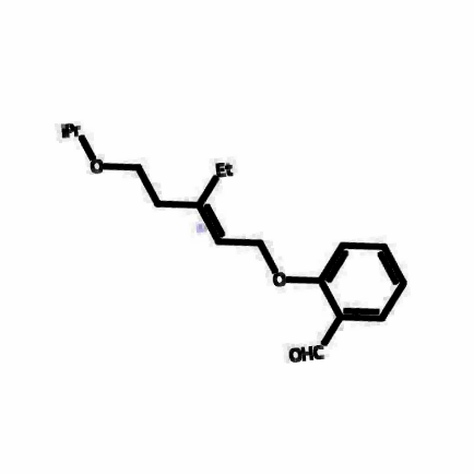 CC/C(=C\COc1ccccc1C=O)CCOC(C)C